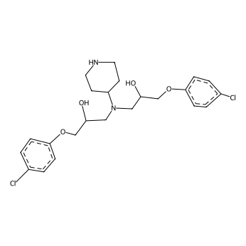 OC(COc1ccc(Cl)cc1)CN(CC(O)COc1ccc(Cl)cc1)C1CCNCC1